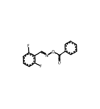 O=C(ON=Cc1c(F)cccc1F)c1ccccc1